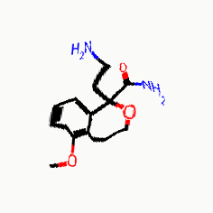 COc1cccc2c1CCOC2(CCN)C(N)=O